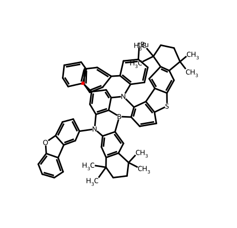 CC(C)(C)c1ccc(N2c3cc(-c4ccccc4)cc4c3B(c3cc5c(cc3N4c3ccc4oc6ccccc6c4c3)C(C)(C)CCC5(C)C)c3ccc4sc5cc6c(cc5c4c32)C(C)(C)CCC6(C)C)c(-c2ccccc2)c1